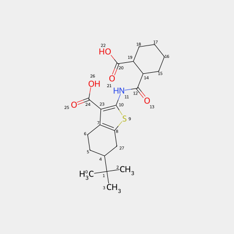 CC(C)(C)C1CCc2c(sc(NC(=O)C3CCCCC3C(=O)O)c2C(=O)O)C1